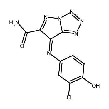 NC(=O)C1=Nn2nnnc2C1=Nc1ccc(O)c(Cl)c1